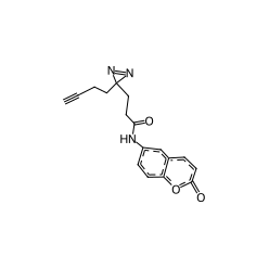 C#CCCC1(CCC(=O)Nc2ccc3oc(=O)ccc3c2)N=N1